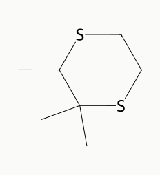 CC1SCCSC1(C)C